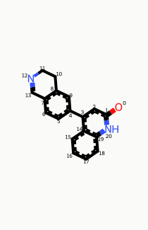 O=c1cc(-c2ccc3c(c2)CCN=C3)c2ccccc2[nH]1